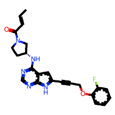 CC=CC(=O)N1CC[C@@H](Nc2ncnc3[nH]c(C#CCOc4ccccc4F)cc23)C1